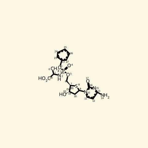 CC(N[P@](=O)(OC[C@H]1SC(n2ccc(N)nc2=O)C[C@@H]1O)Oc1ccccc1)C(=O)O